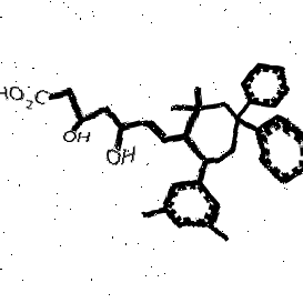 Cc1cc(C)cc(C2CC(c3ccccc3)(c3ccccc3)CC(C)(C)C2/C=C/C(O)CC(O)CC(=O)O)c1